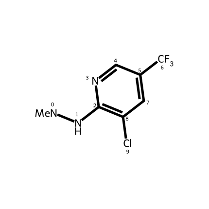 CNNc1ncc(C(F)(F)F)cc1Cl